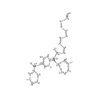 C=C\C=C/C=C\C=C/C=C\C(=C)N(c1ccccc1)c1ccc(N(C)c2ccccc2)cc1